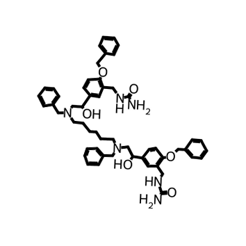 NC(=O)NCc1cc(C(O)CN(CCCCCCN(Cc2ccccc2)CC(O)c2ccc(OCc3ccccc3)c(CNC(N)=O)c2)Cc2ccccc2)ccc1OCc1ccccc1